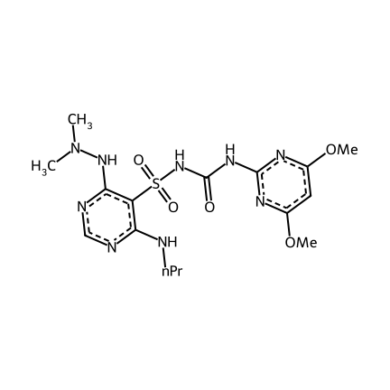 CCCNc1ncnc(NN(C)C)c1S(=O)(=O)NC(=O)Nc1nc(OC)cc(OC)n1